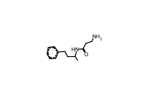 CC(CCc1ccccc1)NC(=O)CCN